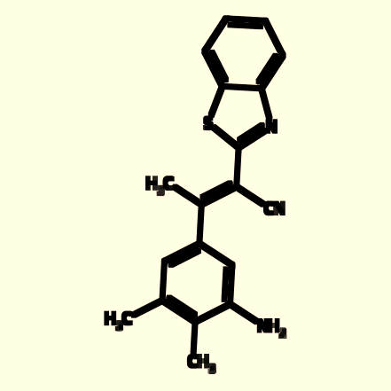 C/C(=C(/C#N)c1nc2ccccc2s1)c1cc(C)c(C)c(N)c1